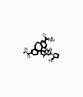 CNC(=O)c1ccc2c(c1)CCc1cc(C(=O)NC)ccc1C2(C[C@H](C)NCC(=O)N1CCCC1C#N)c1nc(=O)on1C